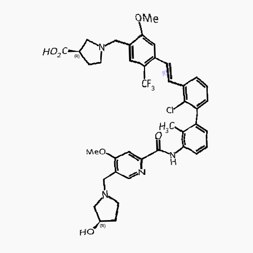 COc1cc(C(=O)Nc2cccc(-c3cccc(/C=C/c4cc(OC)c(CN5CC[C@@H](C(=O)O)C5)cc4C(F)(F)F)c3Cl)c2C)ncc1CN1CC[C@@H](O)C1